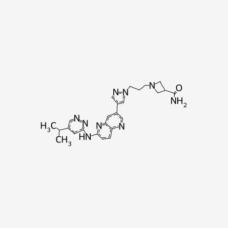 CC(C)c1cnnc(Nc2ccc3ncc(-c4cnn(CCCN5CC(C(N)=O)C5)c4)cc3n2)c1